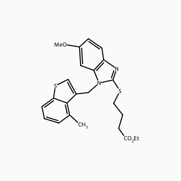 CCOC(=O)CCCSc1nc2ccc(OC)cc2n1Cc1csc2cccc(C)c12